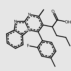 CCCC(C(=O)O)c1c(C)nc2nc3ccccc3n2c1-c1ccc(C)cc1F